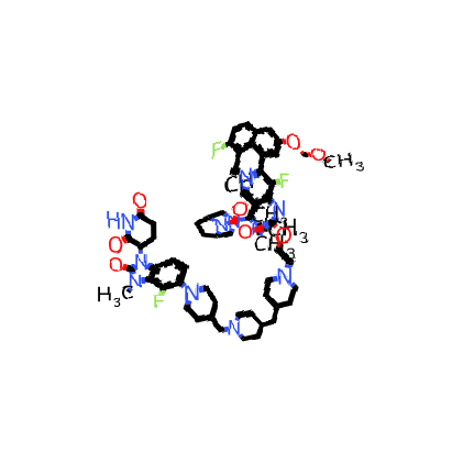 C#Cc1c(F)ccc2cc(OCOC)cc(-c3ncc4c(N5CC6CCC(C5)N6C(=O)OC(C)(C)C)nc(OCCN5CCC(CC6CCN(CC7CCN(c8ccc9c(c8F)n(C)c(=O)n9C8CCC(=O)NC8=O)CC7)CC6)CC5)nc4c3F)c12